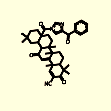 CC1(C)CCC2(C(=O)n3cnc(C(=O)c4ccccc4)c3)CCC3(C)C(C(=O)C=C4C5(C)C=C(C#N)C(=O)C(C)(C)C5CCC43C)C2C1